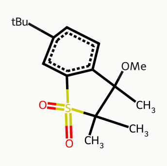 COC1(C)c2ccc(C(C)(C)C)cc2S(=O)(=O)C1(C)C